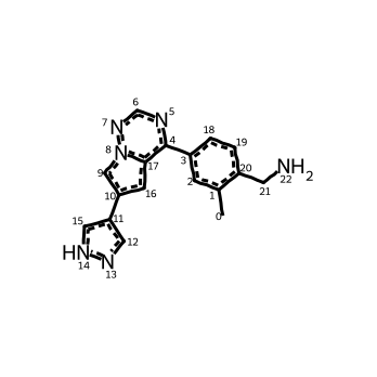 Cc1cc(-c2ncnn3cc(-c4cn[nH]c4)cc23)ccc1CN